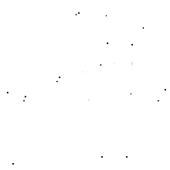 CCNC(=O)CC1(C)N=C(c2ccc(Cl)cc2)c2cccnc2-n2c(C)nnc21